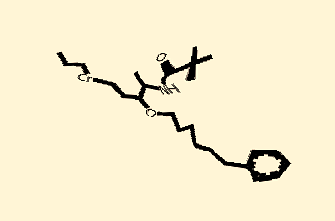 CC[CH2][Cr][CH2]CC(OCCCCCCc1ccccc1)C(C)NC(=O)C(C)(C)C